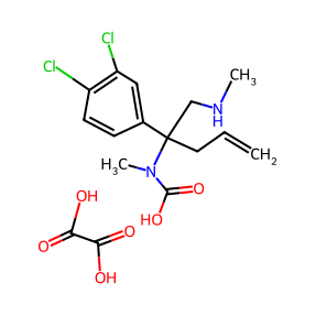 C=CCC(CNC)(c1ccc(Cl)c(Cl)c1)N(C)C(=O)O.O=C(O)C(=O)O